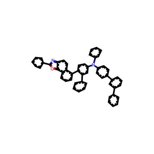 c1ccc(-c2cccc(-c3ccc(N(c4ccccc4)c4ccc(-c5cccc6c5ccc5nc(-c7ccccc7)oc56)c(-c5ccccc5)c4)cc3)c2)cc1